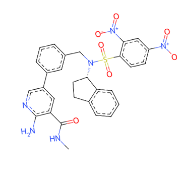 CNC(=O)c1cc(-c2cccc(CN([C@H]3CCc4ccccc43)S(=O)(=O)c3ccc([N+](=O)[O-])cc3[N+](=O)[O-])c2)cnc1N